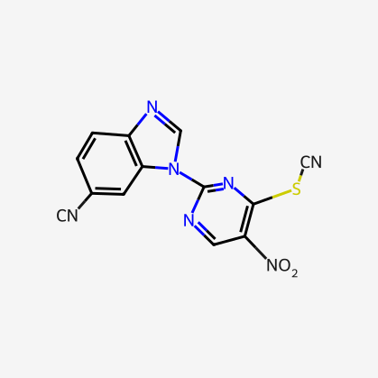 [C-]#[N+]c1ccc2ncn(-c3ncc([N+](=O)[O-])c(SC#N)n3)c2c1